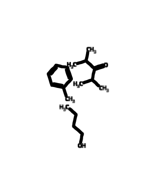 CC(C)C(=O)C(C)C.CCCCO.Cc1ccccc1